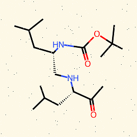 CC(=O)[C@H](CC(C)C)NC[C@H](CC(C)C)NC(=O)OC(C)(C)C